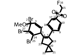 COC1(Br)C=CC(C2=C(c3ccc(S(=O)(=O)CF)cc3)CC3(CC3)C2)C(Br)=C1Br